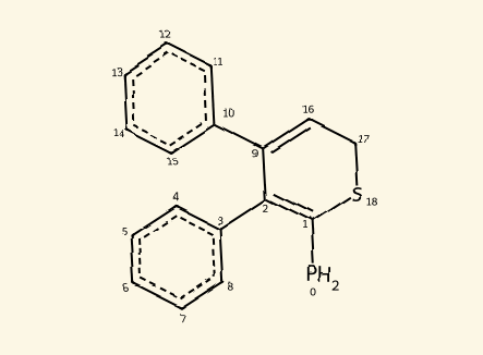 PC1=C(c2ccccc2)C(c2ccccc2)=CCS1